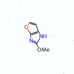 COc1nc2occc2[nH]1